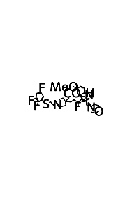 COc1ccc2ncc(CN3CCOCC3)c([C@@H](F)CCC3(CC(=O)O)CCN(CCSc4cc(F)cc(F)c4F)CC3)c2c1